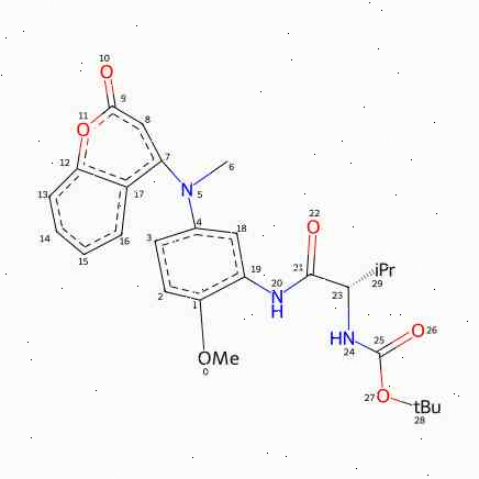 COc1ccc(N(C)c2cc(=O)oc3ccccc23)cc1NC(=O)[C@@H](NC(=O)OC(C)(C)C)C(C)C